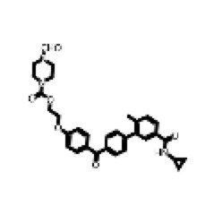 Cc1ccc(C(=O)NC2CC2)cc1-c1ccc(C(=O)c2ccc(OCCOC(=O)N3CCN(C=O)CC3)cc2)cc1